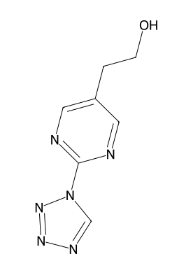 OCCc1cnc(-n2cnnn2)nc1